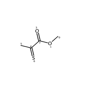 COC(=O)C(C)=S